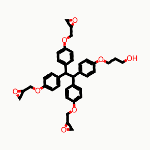 OCCCOc1ccc(C(c2ccc(OCC3CO3)cc2)C(c2ccc(OCC3CO3)cc2)c2ccc(OCC3CO3)cc2)cc1